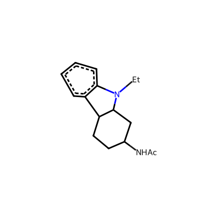 CCN1c2ccccc2C2CCC(NC(C)=O)CC21